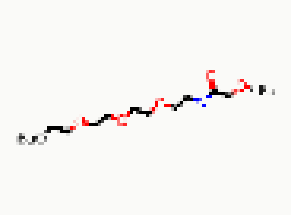 CC(C)COCCOCCOCCOCCNC(=O)COC(C)(C)C